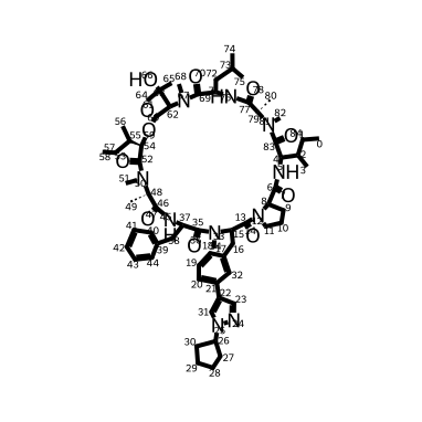 CCC(C)C1NC(=O)C2CCCN2C(=O)C(Cc2cccc(-c3cnn(C4CCCC4)c3)c2)N(C)C(=O)C(Cc2ccccc2)NC(=O)[C@H](C)N(C)C(=O)[C@@H](C(C)CC)OC(=O)C(C(C)(C)O)N(C)C(=O)C(CC(C)C)NC(=O)[C@H](C)N(C)C1=O